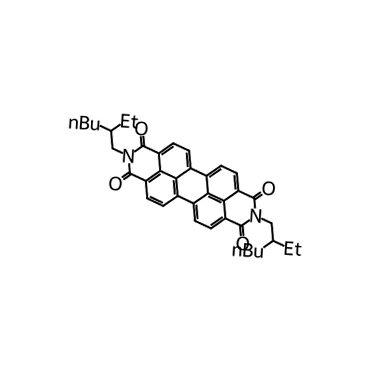 CCCCC(CC)CN1C(=O)c2ccc3c4ccc5c6c(ccc(c7ccc(c2c37)C1=O)c64)C(=O)N(CC(CC)CCCC)C5=O